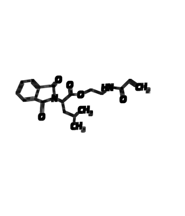 C=CC(=O)NCCOC(=O)C(CC(C)C)N1C(=O)c2ccccc2C1=O